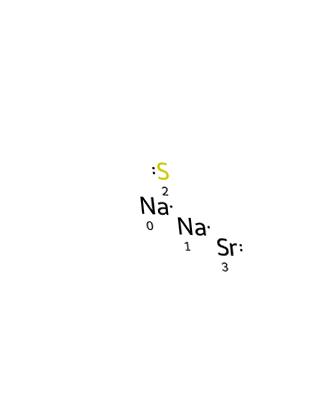 [Na].[Na].[S].[Sr]